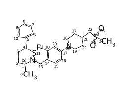 C[C@H]1CCC(c2ccccc2)SN1Cc1ccc(N2CCC(CS(C)(=O)=O)CC2)cc1F